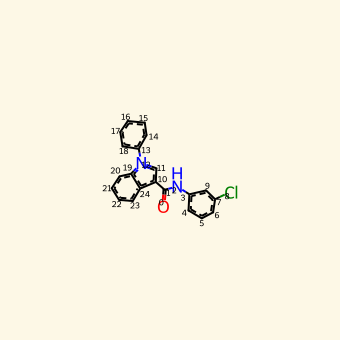 O=C(Nc1cccc(Cl)c1)c1cn(-c2ccccc2)c2ccccc12